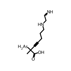 CC([AsH2])(C#CCCCNCC=N)C(=O)O